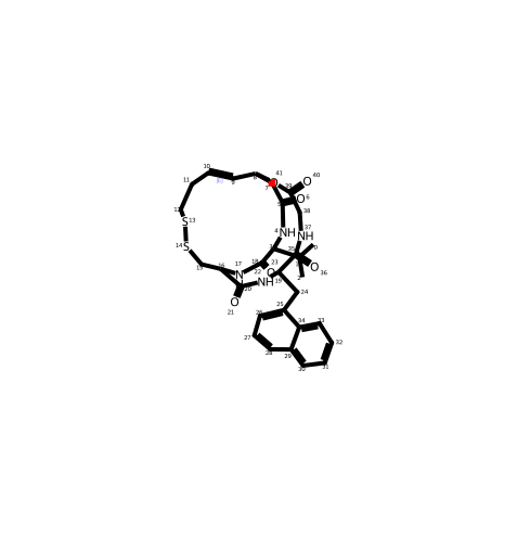 CC(C)C1NC(=O)CC2/C=C/CCSSCC(NC1=O)C(=O)NC(Cc1cccc3ccccc13)C(=O)NCC(=O)O2